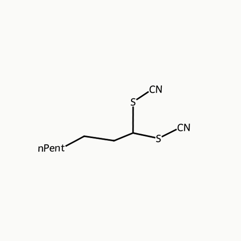 CCCCCCCC(SC#N)SC#N